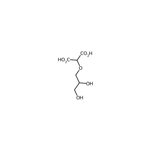 O=C(O)C(OCC(O)CO)C(=O)O